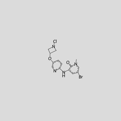 Cn1cc(Br)cc(Nc2ccc(OC3CN(Cl)C3)cn2)c1=O